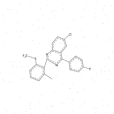 Cc1cccc(SC(F)(F)F)c1-c1nc(-c2ccc(F)cc2)c2cc(Cl)ccc2n1